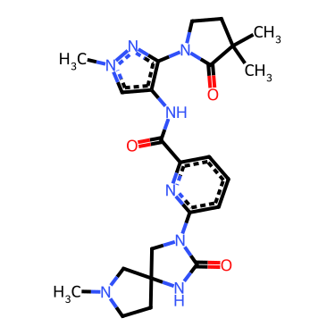 CN1CCC2(C1)CN(c1cccc(C(=O)Nc3cn(C)nc3N3CCC(C)(C)C3=O)n1)C(=O)N2